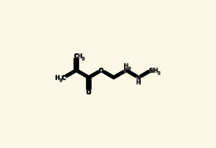 C=C(C)C(=O)OC[SiH2]N[SiH3]